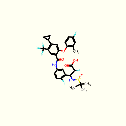 Cc1cc(F)ccc1Oc1cc(C2CC2)c(C(F)(F)F)cc1C(=O)Nc1ccc(F)c(C(N[S+]([O-])C(C)(C)C)C(F)C(=O)O)c1